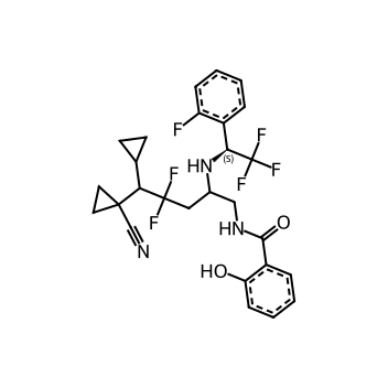 N#CC1(C(C2CC2)C(F)(F)CC(CNC(=O)c2ccccc2O)N[C@@H](c2ccccc2F)C(F)(F)F)CC1